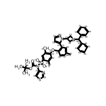 Cc1cc(S(=O)(=O)N(C(=O)OC(C)(C)C)c2cscn2)c(F)cc1Oc1ccc(F)cc1-c1ccnn1C1CN(C(c2ccccc2)c2ccccc2)C1